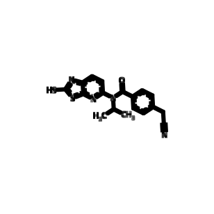 CC(C)N(C(=O)c1ccc(CC#N)cc1)c1ccc2nc(S)sc2n1